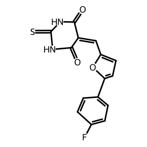 O=C1NC(=S)NC(=O)C1=Cc1ccc(-c2ccc(F)cc2)o1